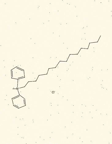 CCCCCCCCCCCCCCCC[N+](C)(c1ccccc1)c1ccccc1.[Cl-]